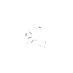 [2H]N1C(=O)OC[C@@H]1Cc1ccc2c(c1)c(C([2H])([2H])CN(C([2H])([2H])[2H])C([2H])([2H])[2H])cn2[2H]